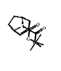 COC(=O)C1=CC2CCC(C1)N2C(=O)OC(C)(C)C